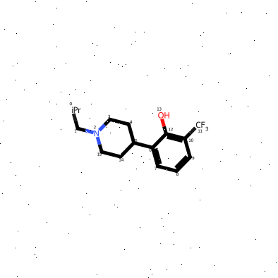 CC(C)CN1CCC(c2cccc(C(F)(F)F)c2O)CC1